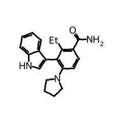 CCc1c(C(N)=O)ccc(N2CCCC2)c1-c1c[nH]c2ccccc12